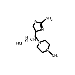 CN1CCN(CC2CSC(N)=N2)CC1.Cl.Cl.Cl